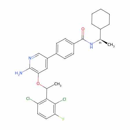 CC(Oc1cc(-c2ccc(C(=O)N[C@H](C)C3CCCCC3)cc2)cnc1N)c1c(Cl)ccc(F)c1Cl